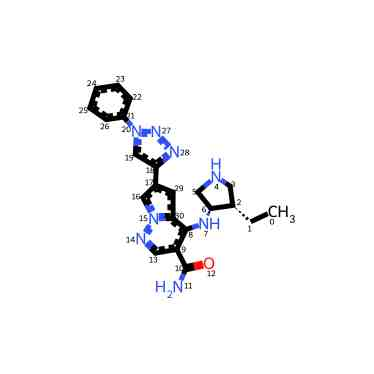 CC[C@H]1CNC[C@H]1Nc1c(C(N)=O)cnn2cc(-c3cn(-c4ccccc4)nn3)cc12